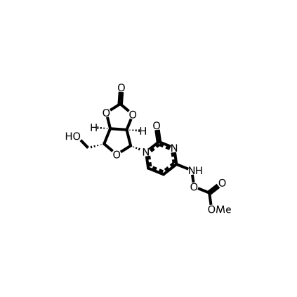 COC(=O)ONc1ccn([C@@H]2O[C@H](CO)[C@H]3OC(=O)O[C@H]32)c(=O)n1